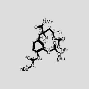 CCCCOC(=O)Oc1ccc(CC(N)(C[C@H](C)OC(=O)OCCC)C(=O)OC)cc1OC(=O)OCCCC